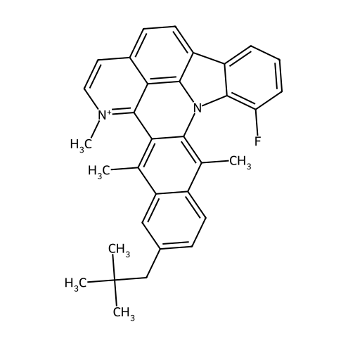 Cc1c2cc(CC(C)(C)C)ccc2c(C)c2c1c1c3c(ccc4c5cccc(F)c5n2c43)cc[n+]1C